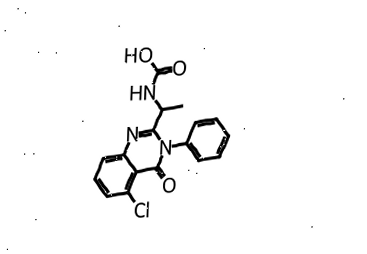 CC(NC(=O)O)c1nc2cccc(Cl)c2c(=O)n1-c1ccccc1